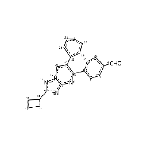 O=Cc1ccc(-c2nc3nc(C4CCC4)nn3cc2-c2ccccc2)cc1